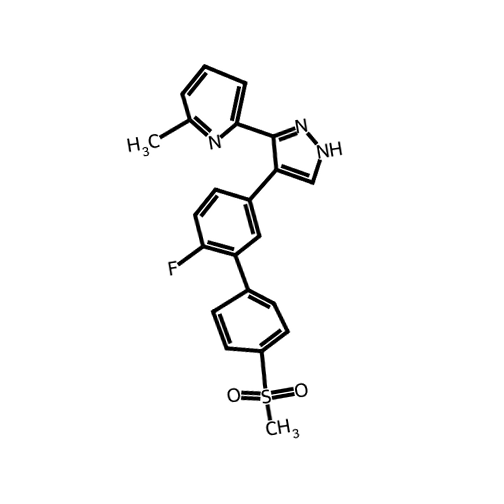 Cc1cccc(-c2n[nH]cc2-c2ccc(F)c(-c3ccc(S(C)(=O)=O)cc3)c2)n1